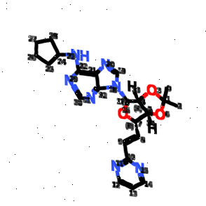 CC1(C)O[C@@H]2[C@H](O1)[C@@H](C=Cc1ncccn1)O[C@H]2n1cnc2c(NC3CCCC3)ncnc21